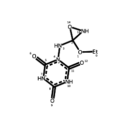 CCOC1(Nn2c(=O)[nH]c(=O)[nH]c2=O)NO1